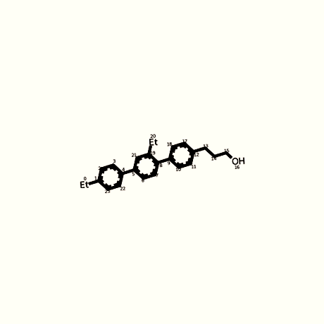 CCc1ccc(-c2ccc(-c3ccc(CCCO)cc3)c(CC)c2)cc1